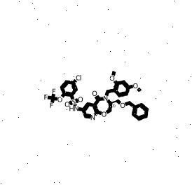 COc1ccc(CN2C(=O)c3cc(NS(=O)(=O)c4cc(Cl)ccc4OC(F)(F)F)cnc3OC[C@@H]2COCc2ccccc2)c(OC)c1